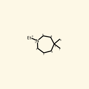 CCN1CCCC(C)(C)CC1